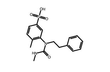 CNC(=O)N(CCc1ccccc1)c1cc(S(=O)(=O)O)ccc1C